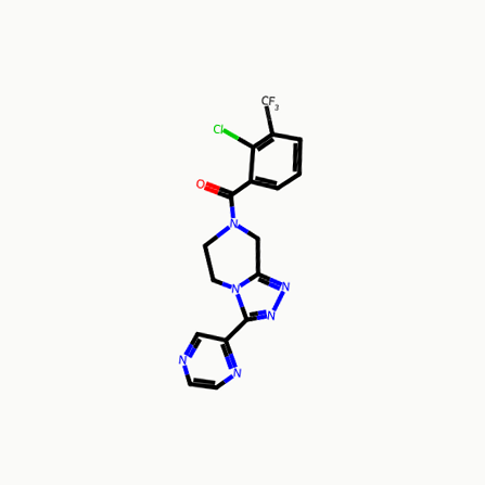 O=C(c1cccc(C(F)(F)F)c1Cl)N1CCn2c(nnc2-c2cnccn2)C1